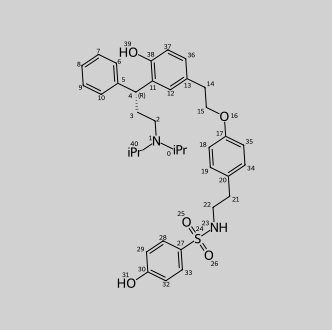 CC(C)N(CC[C@H](c1ccccc1)c1cc(CCOc2ccc(CCNS(=O)(=O)c3ccc(O)cc3)cc2)ccc1O)C(C)C